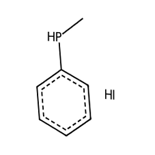 CPc1ccccc1.I